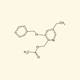 CCc1cnc(COC(C)=O)c(OCc2ccccc2)c1